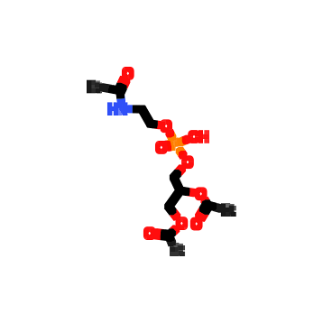 CCC(=O)NCCOP(=O)(O)OCC(COC(=O)CC)OC(=O)CC